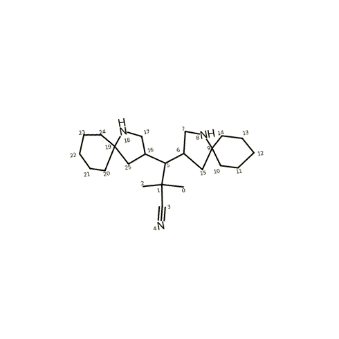 CC(C)(C#N)C(C1CNC2(CCCCC2)C1)C1CNC2(CCCCC2)C1